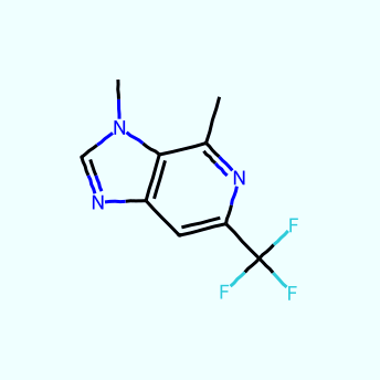 Cc1nc(C(F)(F)F)cc2ncn(C)c12